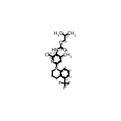 Cc1cc(N2CCCc3c2cccc3C(F)(F)F)nc(Cl)c1NC(=O)OCC(C)C